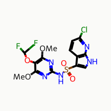 COc1nc(NS(=O)(=O)c2c[nH]c3nc(Cl)ccc23)nc(OC)c1OC(F)F